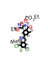 CCOC(=O)OCN(C(=O)c1ccc(/C(Cc2cc(Cl)c(F)c(Cl)c2)=N/OC)cc1C)C1CC(OCC)=NO1